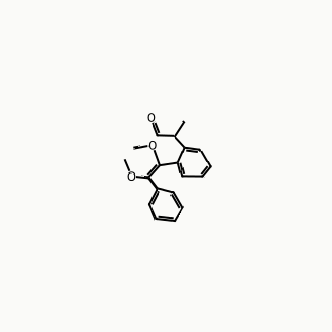 CO/C(=C(\OC)c1ccccc1C(C)C=O)c1ccccc1